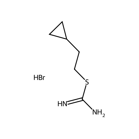 Br.N=C(N)SCCC1CC1